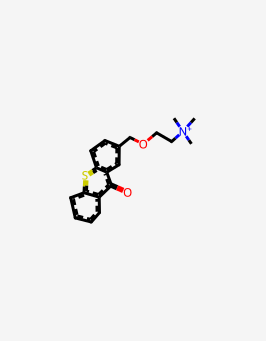 C[N+](C)(C)CCOCc1ccc2sc3ccccc3c(=O)c2c1